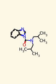 CC(C)CN(CC(C)C)C(=O)n1cnc2ccccc21